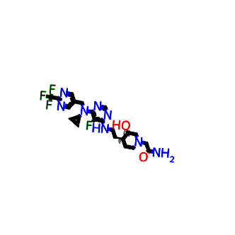 NC(=O)CN1CC[C@@H](CCNc2ncnc(N(Cc3cnc(C(F)(F)F)nc3)C3CC3)c2F)[C@H](O)C1